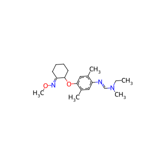 CCN(C)C=Nc1cc(C)c(OC2CCCCC2=NOC)cc1C